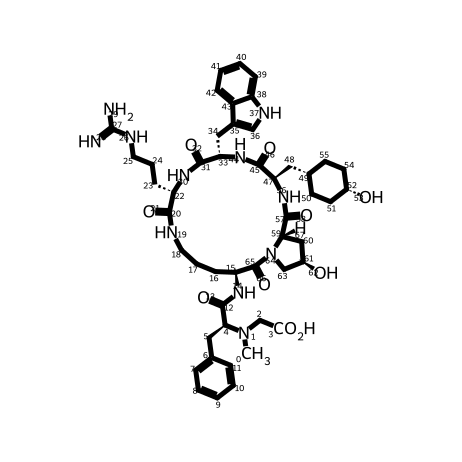 CN(CC(=O)O)[C@@H](Cc1ccccc1)C(=O)N[C@H]1CCCNC(=O)[C@H](CCCNC(=N)N)NC(=O)[C@H](Cc2c[nH]c3ccccc23)NC(=O)[C@@H](C[C@H]2CC[C@@H](O)CC2)NC(=O)[C@@H]2C[C@@H](O)CN2C1=O